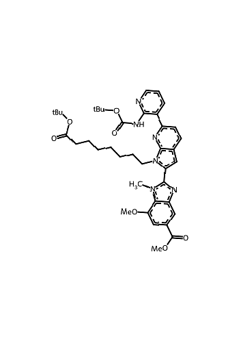 COC(=O)c1cc(OC)c2c(c1)nc(-c1cc3ccc(-c4cccnc4NC(=O)OC(C)(C)C)nc3n1CCCCCCCC(=O)OC(C)(C)C)n2C